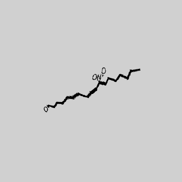 CCCCCC/C=C(/C#CCCCCCCC[C]=O)[N+](=O)[O-]